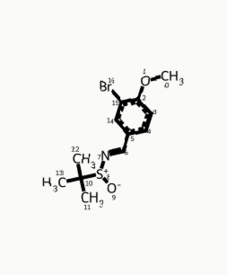 COc1ccc(C=N[S+]([O-])C(C)(C)C)cc1Br